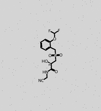 N#CCNC(=O)[C@@H](O)CS(=O)(=O)Cc1ccccc1OC(F)F